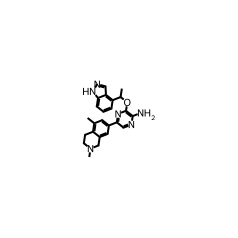 Cc1cc(-c2cnc(N)c(OC(C)c3cccc4[nH]ncc34)n2)cc2c1CCN(C)C2